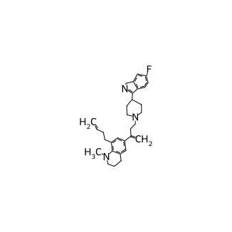 C=CCCc1cc(C(=C)CCN2CCC(C3=NCc4cc(F)ccc43)CC2)cc2c1N(C)CCC2